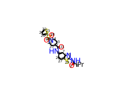 CC(C)C(=O)Nc1nc2cc(NC(=O)C3CCN(S(=O)(=O)c4cccs4)CC3)ccc2s1